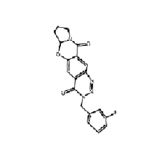 O=C1c2cc3nnn(Cc4cccc(F)c4)c(=O)c3cc2OC2CCCN12